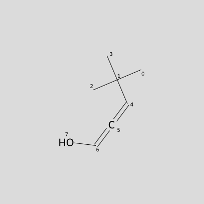 CC(C)(C)C=C=CO